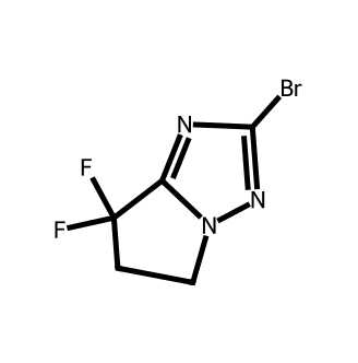 FC1(F)CCn2nc(Br)nc21